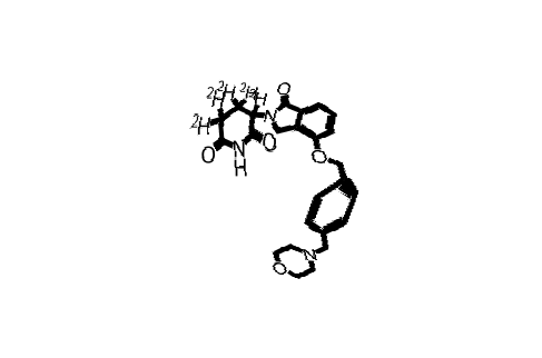 [2H]C1([2H])C(=O)NC(=O)C([2H])(N2Cc3c(OCc4ccc(CN5CCOCC5)cc4)cccc3C2=O)C1([2H])[2H]